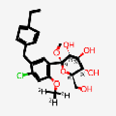 [2H]C([2H])([2H])Oc1cc(Cl)c(Cc2ccc(CC)cc2)cc1[C@]1(OC)O[C@H](CO)[C@@H](O)[C@H](O)[C@H]1O